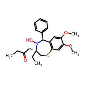 CCC(=O)C[C@@]1(CC)CSc2cc(OC)c(OC)cc2[C@H](c2ccccc2)N1O